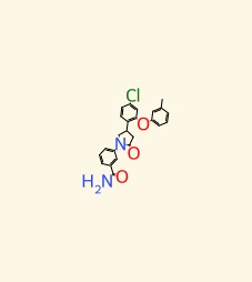 Cc1cccc(Oc2cc(Cl)ccc2C2CC(=O)N(c3cccc(C(N)=O)c3)C2)c1